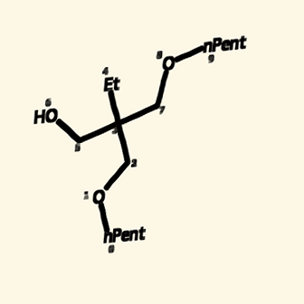 CCCCCOCC(CC)(CO)COCCCCC